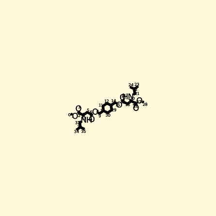 COC(=O)C(CC(=O)OCC1CCC(COC(=O)CC(NCC(C)C)C(=O)OC)CC1)NCC(C)C